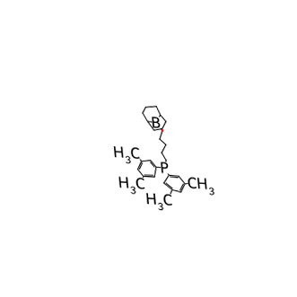 Cc1cc(C)cc(P(CCCCCB2C3CCCC2CCC3)c2cc(C)cc(C)c2)c1